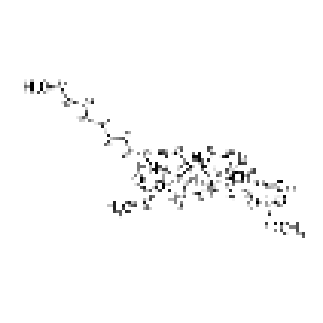 C#C[C@@]1(OC(=O)CC)C[C@@H]2CC[C@@H]3[C@H](CC[C@@]4(C)[C@H]3CC[C@]4(NCCCCCCCCCC)OC(=O)CC)[C@@]2(C)C1